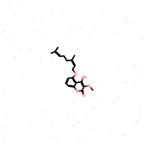 COc1c(O)c2c(OCC=C(C)CCC=C(C)C)cccc2oc1=O